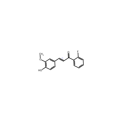 COc1cc(/C=C/C(=O)c2ccccc2F)ccc1O